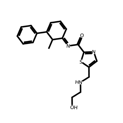 CC1C(c2ccccc2)=CC=CC1=NC(=O)c1ncc(CNCCO)s1